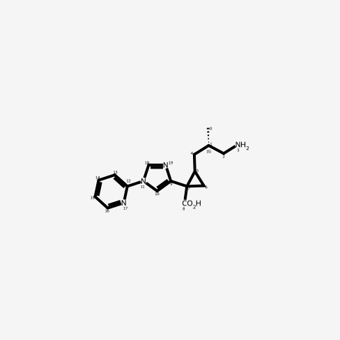 C[C@H](CN)CC1CC1(C(=O)O)c1cn(-c2ccccn2)cn1